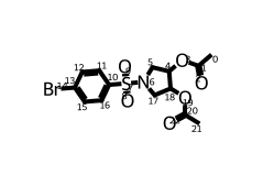 CC(=O)OC1CN(S(=O)(=O)c2ccc(Br)cc2)CC1OC(C)=O